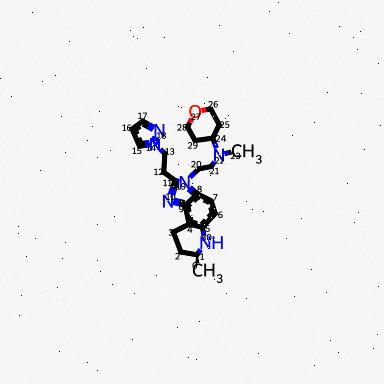 C[C@H]1CCc2c(ccc3c2nc(CCn2cccn2)n3CCN(C)C2CCOCC2)N1